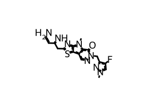 Cn1cc(F)c(Cn2ncc3c4sc(CC(=N)/C=C\N)nc4n(C)c3c2=O)n1